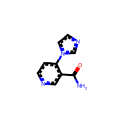 NC(=O)c1cnccc1-n1ccnc1